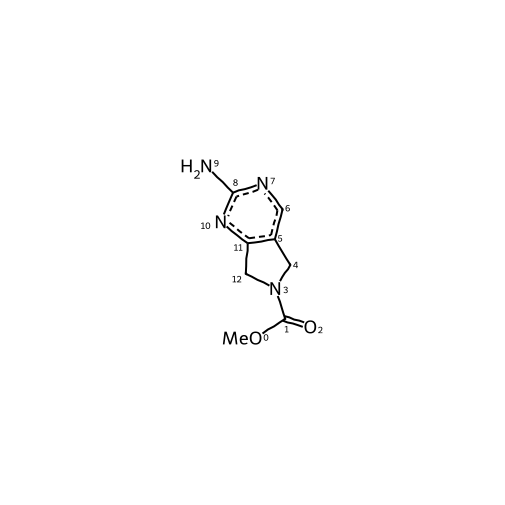 COC(=O)N1Cc2cnc(N)nc2C1